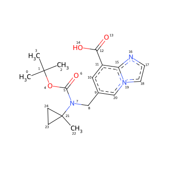 CC(C)(C)OC(=O)N(Cc1cc(C(=O)O)c2nccn2c1)C1(C)CC1